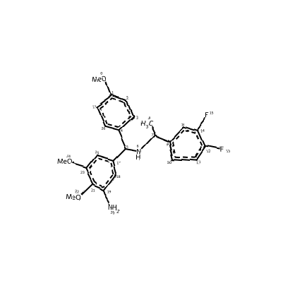 COc1ccc(C(NC(C)c2ccc(F)c(F)c2)c2cc(N)c(OC)c(OC)c2)cc1